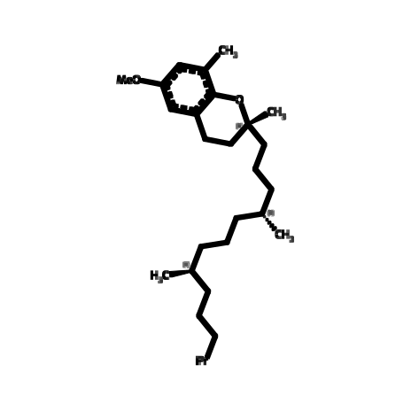 COc1cc(C)c2c(c1)CC[C@@](C)(CCC[C@H](C)CCC[C@H](C)CCCC(C)C)O2